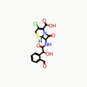 O=Cc1ccccc1C(O)C(=O)NC1C(=O)N2C(C(=O)O)=C(Cl)CS[C@@H]12